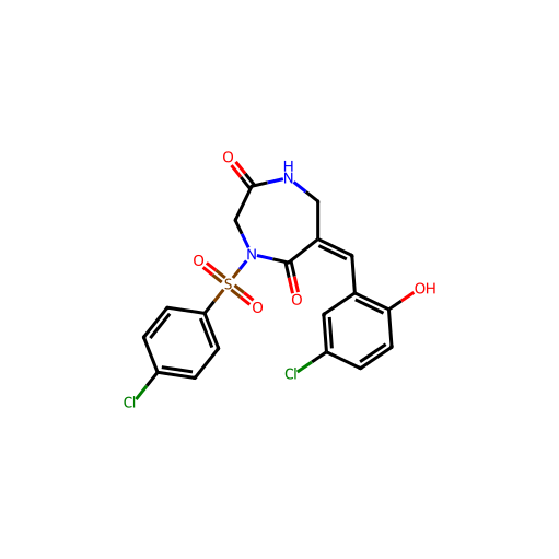 O=C1CN(S(=O)(=O)c2ccc(Cl)cc2)C(=O)C(=Cc2cc(Cl)ccc2O)CN1